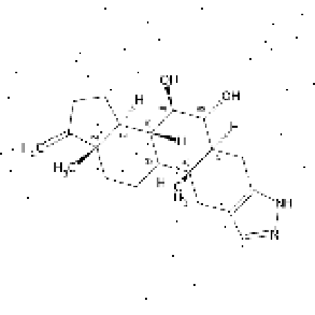 C=C1CC[C@H]2[C@@H]3[C@@H](O)[C@H](O)[C@H]4Cc5[nH]ncc5C[C@]4(C)[C@H]3CC[C@]12C